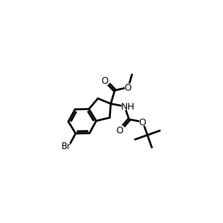 COC(=O)C1(NC(=O)OC(C)(C)C)Cc2ccc(Br)cc2C1